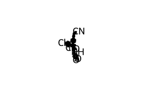 CC1=C(c2ccc(C#CCCC#N)cc2)C(c2ccc(Cl)cc2Cl)N=C1C(=O)CNCC1CCS(=O)(=O)CC1